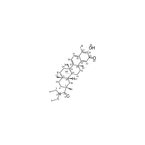 CCN(CC)C(=O)[C@]1(C)CC[C@]2(C)CC[C@]3(C)C4=CC=C5C(=CC(=O)C(O)=C5C)[C@]4(C)CC[C@@]3(C)[C@@H]2C1